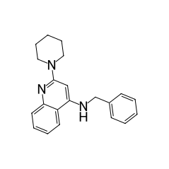 c1ccc(CNc2cc(N3CCCCC3)nc3ccccc23)cc1